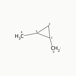 [CH2]C1CC1C